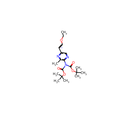 CCO/C=C/c1cnc(N(C(=O)OC(C)(C)C)C(=O)OC(C)(C)C)c(C)n1